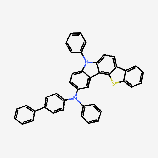 c1ccc(-c2ccc(N(c3ccccc3)c3ccc4c(c3)c3c5sc6ccccc6c5ccc3n4-c3ccccc3)cc2)cc1